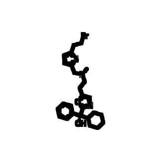 CN(CCc1cnc([C@](O)(c2ccccc2)C2CCCCC2)o1)Cc1ccc(CCBr)s1